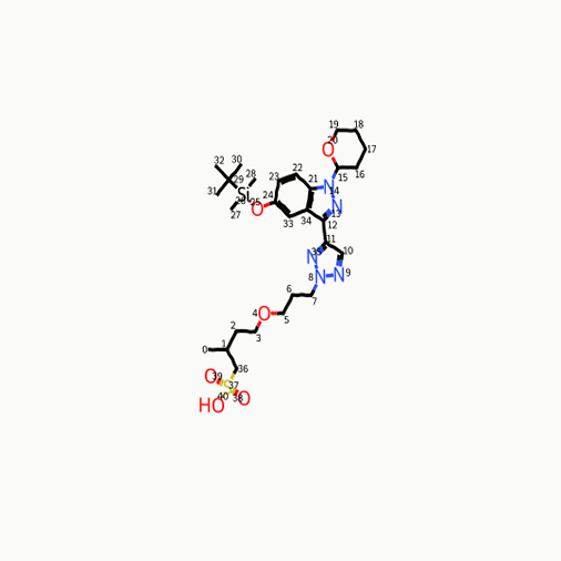 CC(CCOCCCn1ncc(-c2nn(C3CCCCO3)c3ccc(O[Si](C)(C)C(C)(C)C)cc23)n1)CS(=O)(=O)O